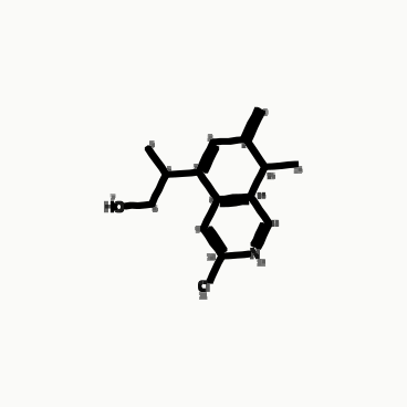 C=C1C=C(C(C)CO)c2cc(Cl)ncc2C1C